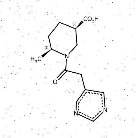 C[C@H]1CC[C@@H](C(=O)O)CN1C(=O)Cc1cncnc1